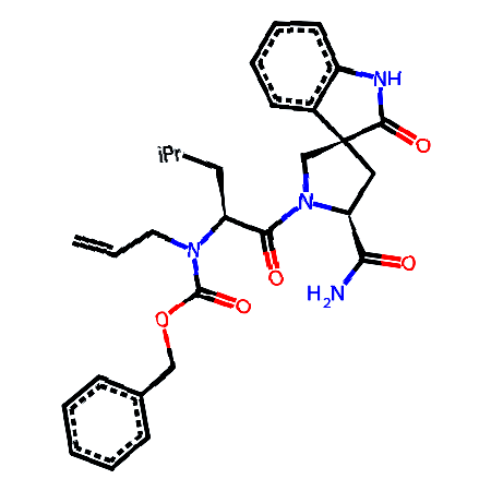 C=CCN(C(=O)OCc1ccccc1)[C@@H](CC(C)C)C(=O)N1C[C@]2(C[C@H]1C(N)=O)C(=O)Nc1ccccc12